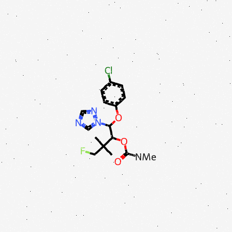 CNC(=O)OC(C(Oc1ccc(Cl)cc1)n1cncn1)C(C)(C)CF